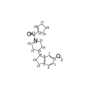 COc1ccc2c(c1)C(C1CCN(C(=O)C3=CCCC3)CC1)CC2